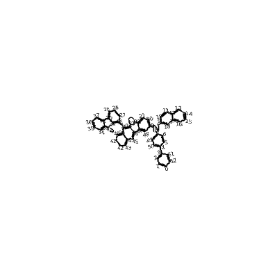 c1ccc(-c2ccc(N(c3ccc4ccccc4c3)c3ccc4oc5c(-c6cccc7c6sc6ccccc67)c6ccccc6cc5c4c3)cc2)cc1